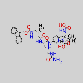 CC(CNC(=O)OCC1c2ccccc2-c2ccccc21)CC(=O)N[C@@H](CCCNC(N)=O)C(=O)Nc1ccc(CC(CNC(=O)O)(NC(=O)O)C(C)(C)C)cc1